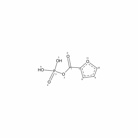 O=C(OP(=O)(O)O)c1ccco1